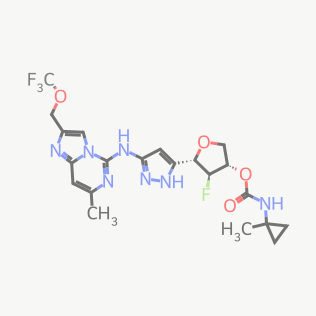 Cc1cc2nc(COC(F)(F)F)cn2c(Nc2cc([C@@H]3OC[C@H](OC(=O)NC4(C)CC4)[C@H]3F)[nH]n2)n1